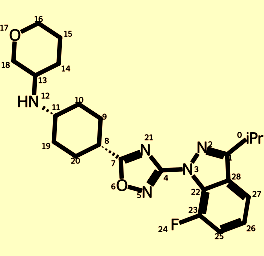 CC(C)c1nn(-c2noc([C@H]3CC[C@@H](NC4CCCOC4)CC3)n2)c2c(F)cccc12